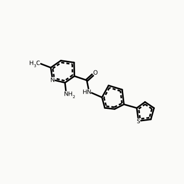 Cc1ccc(C(=O)Nc2ccc(-c3cccs3)cc2)c(N)n1